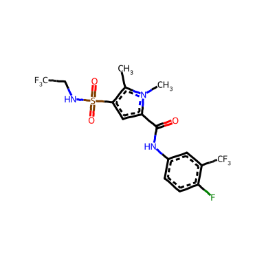 Cc1c(S(=O)(=O)NCC(F)(F)F)cc(C(=O)Nc2ccc(F)c(C(F)(F)F)c2)n1C